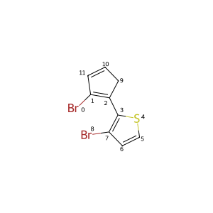 BrC1=C(c2sccc2Br)CC=C1